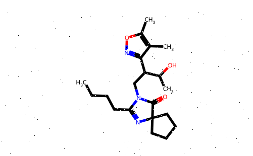 CCCCC1=NC2(CCCC2)C(=O)N1C[C](c1noc(C)c1C)C(C)O